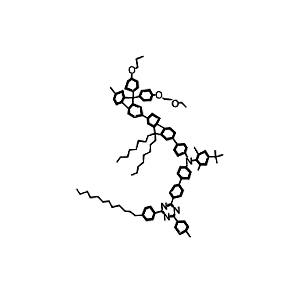 CCCCCCCCCCCCc1ccc(-c2nc(-c3ccc(C)cc3)nc(-c3ccc(-c4ccc(N(c5ccc(-c6ccc7c(c6)C(CCCCCCCC)(CCCCCCCC)c6cc(-c8ccc9c(c8)C(c8ccc(OCCC)cc8)(c8ccc(OCCOCC)cc8)c8cc(C)ccc8-9)ccc6-7)cc5)c5c(C)cc(C(C)(C)C)cc5C)cc4)cc3)n2)cc1